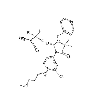 COCCCSc1ccc(N2C(=O)N(Cc3ccncc3)C(C)(C)C2=O)cc1Cl.O=C(O)C(F)(F)F